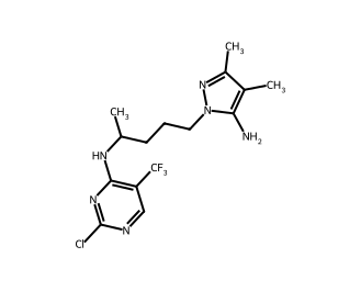 Cc1nn(CCCC(C)Nc2nc(Cl)ncc2C(F)(F)F)c(N)c1C